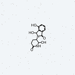 O=C1CCC(N2C(=O)c3cccc(O)c3C2O)C(O)N1